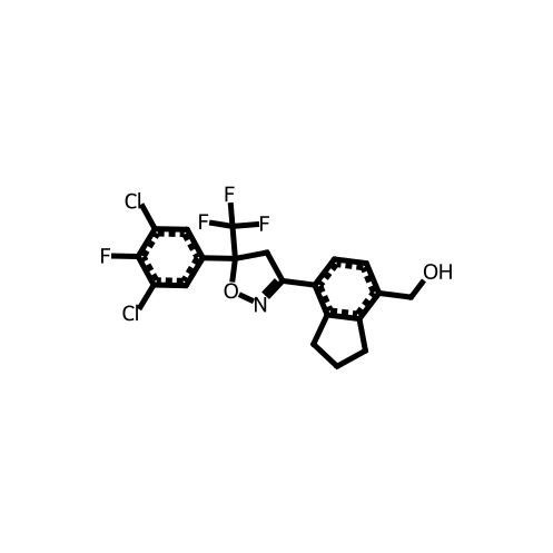 OCc1ccc(C2=NOC(c3cc(Cl)c(F)c(Cl)c3)(C(F)(F)F)C2)c2c1CCC2